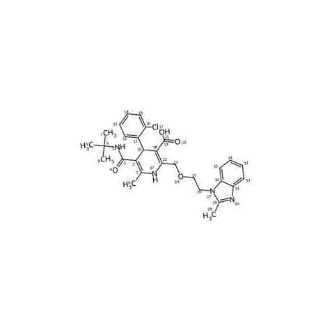 CC1=C(C(=O)NC(C)(C)C)C(c2ccccc2Cl)C(C(=O)O)=C(COCCn2c(C)nc3ccccc32)N1